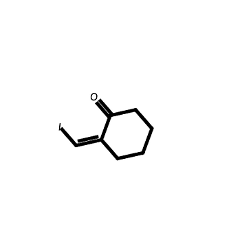 O=C1CCCCC1=CI